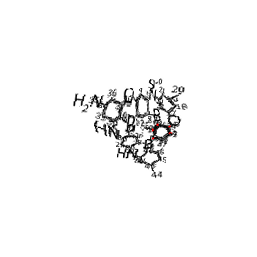 CSN1c2cc3c(cc2B2c4ccccc4Oc4cc(C)cc1c42)B1c2cc4c(cc2Nc2cc(N)cc(c21)O3)Nc1cc(C)cc(C)c1B4c1ccccc1C